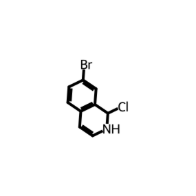 ClC1NC=Cc2ccc(Br)cc21